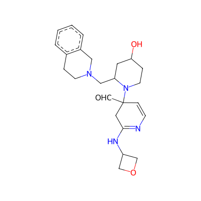 O=CC1(N2CCC(O)CC2CN2CCc3ccccc3C2)C=CN=C(NC2COC2)C1